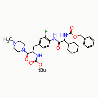 CN1CCN(C(=O)C(Cc2ccc(NC(=O)C(NC(=O)OCc3ccccc3)C3CCCCC3)c(F)c2)NC(=O)OC(C)(C)C)CC1